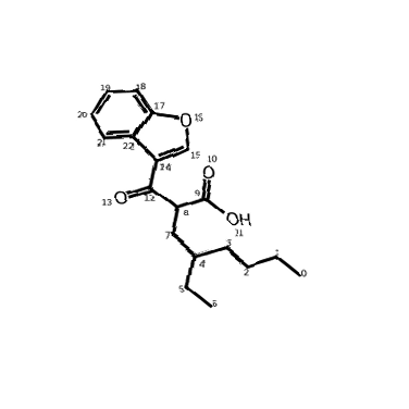 CCCCC(CC)CC(C(=O)O)C(=O)c1coc2ccccc12